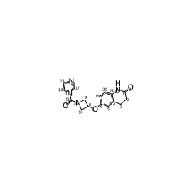 O=C1CCc2cc(OC3CN(C(=O)n4ccnc4)C3)ccc2N1